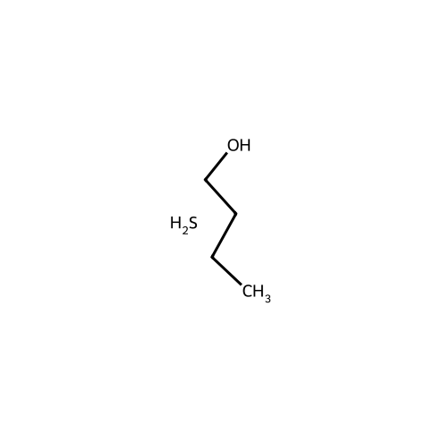 CCCCO.S